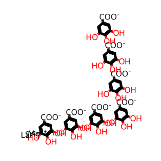 O=C([O-])c1cc(O)c(O)c(O)c1.O=C([O-])c1cc(O)c(O)c(O)c1.O=C([O-])c1cc(O)c(O)c(O)c1.O=C([O-])c1cc(O)c(O)c(O)c1.O=C([O-])c1cc(O)c(O)c(O)c1.O=C([O-])c1cc(O)c(O)c(O)c1.O=C([O-])c1cc(O)c(O)c(O)c1.[La+3].[Mg+2].[Sr+2]